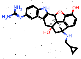 NC(N)=Nc1ccc2[nH]c3c(c2c1)C[C@@]1(O)CC2(NCC4CC4)C[C@@]14c1c2ccc(O)c1OC34